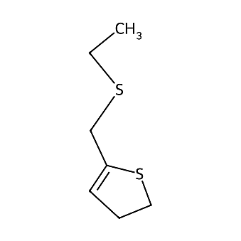 CCSCC1=CCCS1